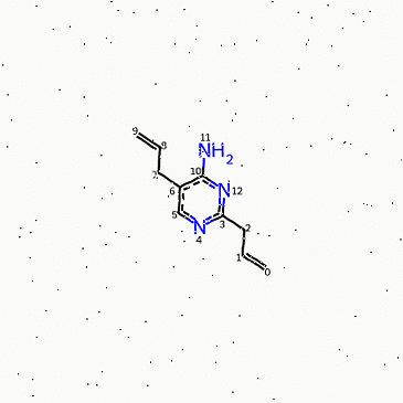 C=CCc1ncc(CC=C)c(N)n1